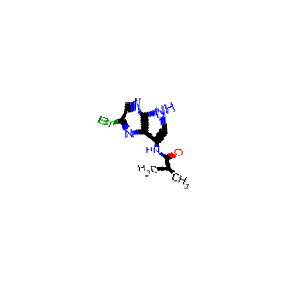 CC(C)C(=O)Nc1c[nH]c2ncc(Br)nc12